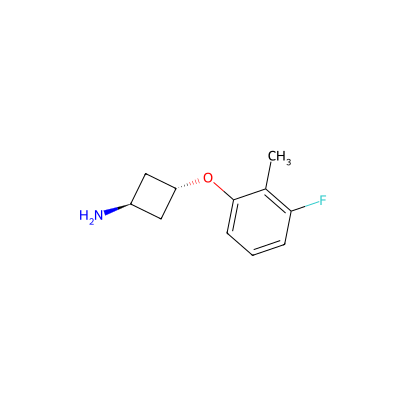 Cc1c(F)cccc1O[C@H]1C[C@H](N)C1